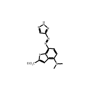 CCOC(=O)c1cc2c(N(C)C)ccc(/N=N/c3cn[nH]n3)c2s1